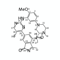 COc1ccc(N2CCN(C)CC2)cc1Nc1ncc(F)c(-c2cc3c(c(P(C)(C)=O)c2)C(C)=NC3=O)n1